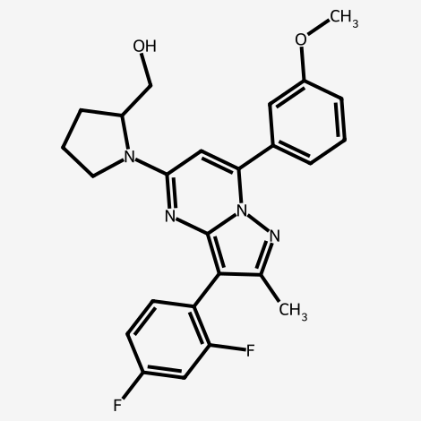 COc1cccc(-c2cc(N3CCCC3CO)nc3c(-c4ccc(F)cc4F)c(C)nn23)c1